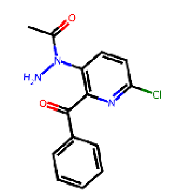 CC(=O)N(N)c1ccc(Cl)nc1C(=O)c1ccccc1